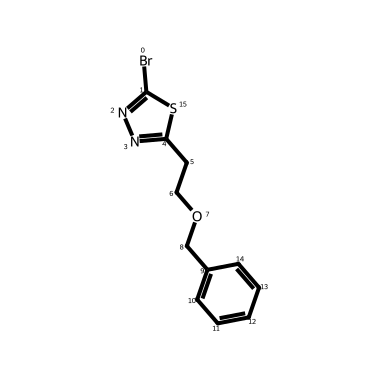 Brc1nnc(CCOCc2ccccc2)s1